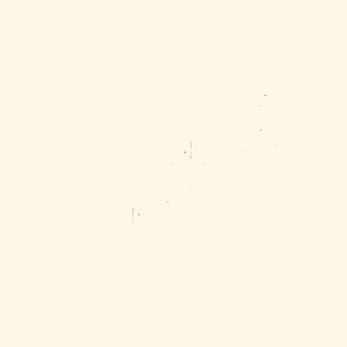 O=C1CCc2cc(NC(=O)c3ccc4c(c3)OCO4)ccc2N1